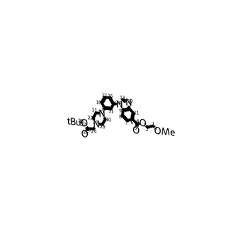 COCCOC(=O)c1ccc2c(c1)ncn2-c1cccc(N2CCN(CC(=O)OC(C)(C)C)CC2)c1